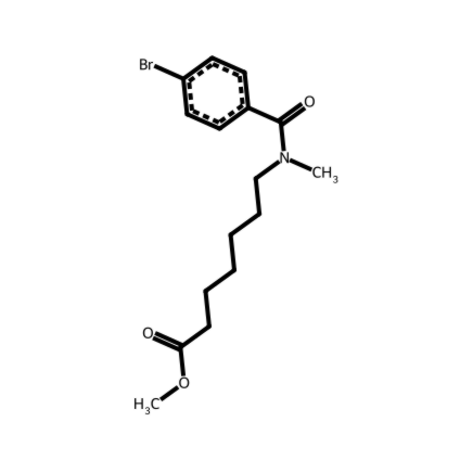 COC(=O)CCCCCCN(C)C(=O)c1ccc(Br)cc1